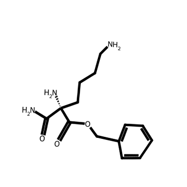 NCCCC[C@](N)(C(N)=O)C(=O)OCc1ccccc1